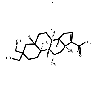 CC(=O)C1=CC[C@H]2[C@@H]3CC[C@H]4CC(CO)(CO)CC[C@]4(C)[C@H]3[C@@H](C)C[C@]12C